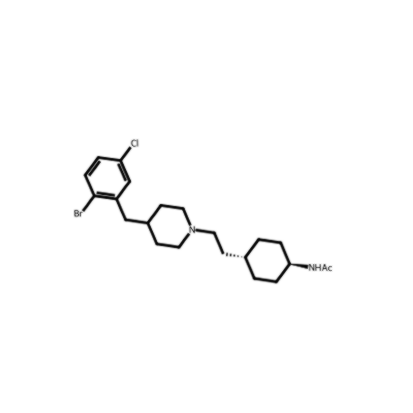 CC(=O)N[C@H]1CC[C@H](CCN2CCC(Cc3cc(Cl)ccc3Br)CC2)CC1